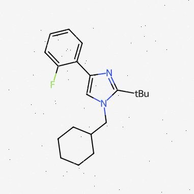 CC(C)(C)c1nc(-c2ccccc2F)cn1CC1CCCCC1